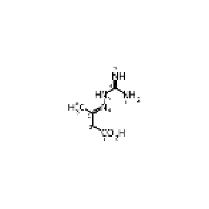 CC(CC(=O)O)=NNC(=N)N